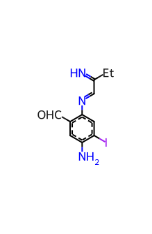 CCC(=N)/C=N/c1cc(I)c(N)cc1C=O